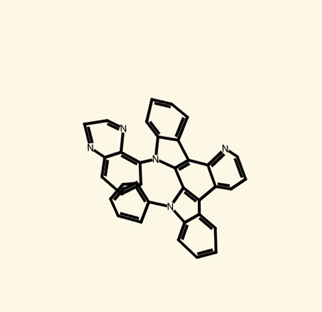 c1ccc(-n2c3ccccc3c3c4cccnc4c4c5ccccc5n(-c5cccc6nccnc56)c4c32)cc1